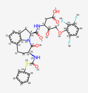 O=C(O)CC(NC(=O)[C@@H]1Cc2cccc3c2N1C(=O)[C@@H](NC(=O)Sc1ccccc1)CC3)C(=O)COc1c(F)ccc(F)c1F